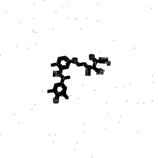 Cc1ccc(OCCNC(C(N)=O)C(C)C)cc1NC(C)c1cc(C)c(=O)n(C)c1